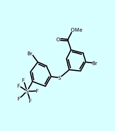 COC(=O)c1cc(Br)cc(Sc2cc(Br)cc(S(F)(F)(F)(F)F)c2)c1